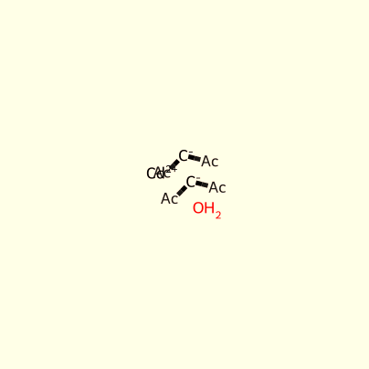 CC(=O)[CH-]C(C)=O.CC(=O)[CH-]C(C)=O.O.[Cd+2]